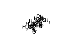 CCc1ccc(C)c(Cc2ccc(C)c(Cc3ccc(C)c(Cc4ccc(C)cc4OCC4CO4)c3O)c2OCC2CO2)c1O